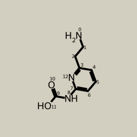 NCCc1cccc(NC(=O)O)n1